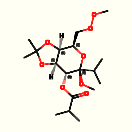 COOC[C@H]1O[C@](OC)(C(C)C)[C@H](OC(=O)C(C)C)[C@H]2OC(C)(C)O[C@H]21